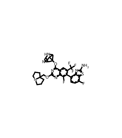 Nc1nc2c(-c3c(C(F)(F)F)cc4c(OC5CN6C7CC5NC76)nc(OCC56CCCN5CCC6)nc4c3F)ccc(F)c2s1